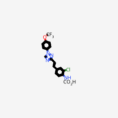 O=C(O)Nc1ccc(C=Cc2ncn(-c3ccc(OC(F)(F)F)cc3)n2)cc1Cl